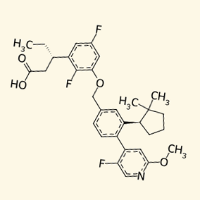 CC[C@@H](CC(=O)O)c1cc(F)cc(OCc2ccc(-c3cc(OC)ncc3F)c([C@@H]3CCCC3(C)C)c2)c1F